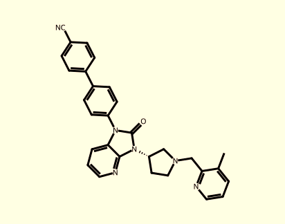 Cc1cccnc1CN1CC[C@H](n2c(=O)n(-c3ccc(-c4ccc(C#N)cc4)cc3)c3cccnc32)C1